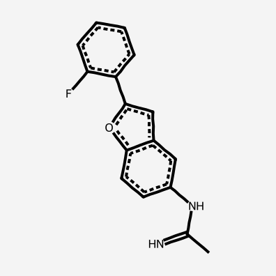 CC(=N)Nc1ccc2oc(-c3ccccc3F)cc2c1